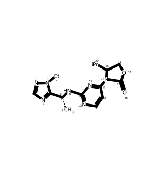 CCn1ncnc1[C@@H](C)Nc1nccc(N2C(=O)OCC2C(C)C)n1